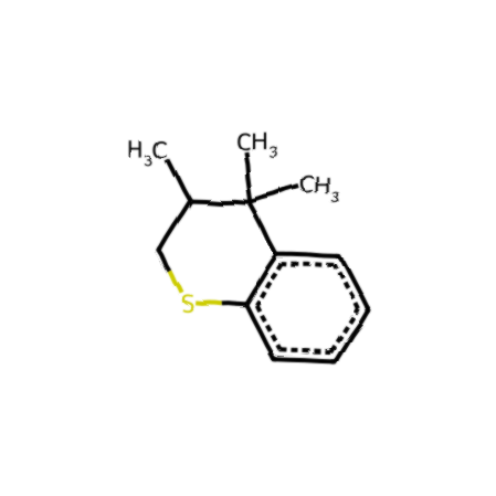 CC1CSc2ccccc2C1(C)C